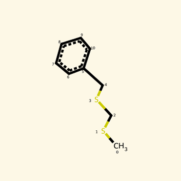 CSCSCc1ccccc1